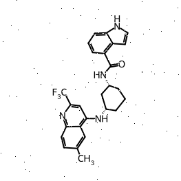 Cc1ccc2nc(C(F)(F)F)cc(N[C@H]3CCC[C@@H](NC(=O)c4cccc5[nH]ccc45)C3)c2c1